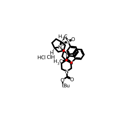 Cc1nc2ccccc2n1C1C[C@H]2CC[C@@H](C1)N2CCC1(c2cccc(S(C)(=O)=O)c2)CCN(C(=O)OC(C)(C)C)CC1.Cl.Cl